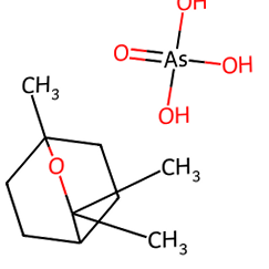 CC12CCC(CC1)C(C)(C)O2.O=[As](O)(O)O